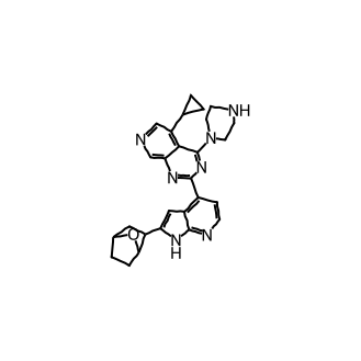 c1cc(-c2nc(N3CCNCC3)c3c(C4CC4)cncc3n2)c2cc(C3CC4CCC3O4)[nH]c2n1